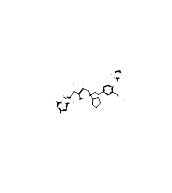 CCc1cc(CCC2(C3CCCC3)CC(O)=C(Cc3nc4cc(C)cc(C)n4n3)C(=O)O2)ccc1Oc1nccs1